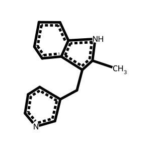 Cc1[nH]c2ccccc2c1Cc1cccnc1